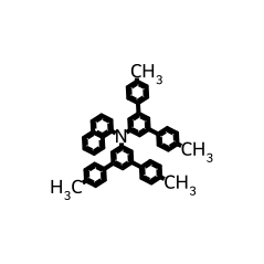 Cc1ccc(-c2cc(-c3ccc(C)cc3)cc(N(c3cc(-c4ccc(C)cc4)cc(-c4ccc(C)cc4)c3)c3cccc4ccccc34)c2)cc1